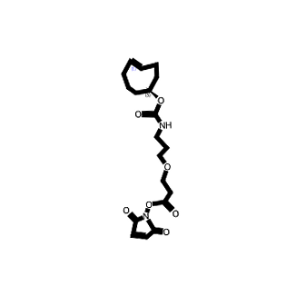 O=C(CCOCCCNC(=O)O[C@@H]1CC/C=C/CCC1)ON1C(=O)C=CC1=O